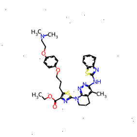 CCOC(=O)c1nc(N2CCCc3c2nnc(Nc2nc4ccccc4s2)c3C)sc1CCCOc1ccc(OCCN(C)C)cc1